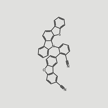 N#Cc1ccc2oc3ccc(-c4c(C#N)cccc4-n4c5ccccc5c5ccc6c7ccccc7sc6c54)cc3c2c1